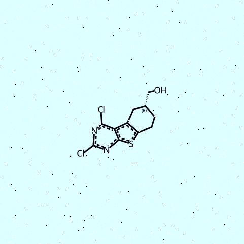 OC[C@@H]1CCc2sc3nc(Cl)nc(Cl)c3c2C1